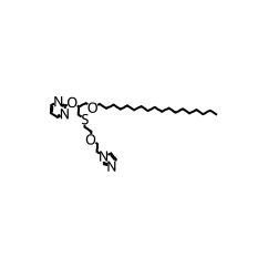 CCCCCCCCCCCCCCCCCCOCC(CSCCOCCn1ccnc1)Oc1ncccn1